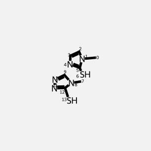 Cn1ccnc1S.Cn1cnnc1S